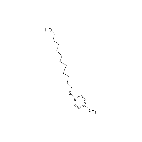 Cc1ccc(SCCCCCCCCCCCO)cc1